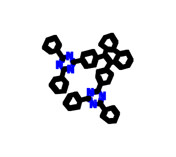 C1=Cc2c(c(-c3ccc(-c4nc(-c5ccccc5)nc(-c5ccccc5)n4)cc3)c(C3=CC=C(c4nc(-c5ccccc5)nc(-c5ccccc5)n4)CC3)c3ccccc23)CC1